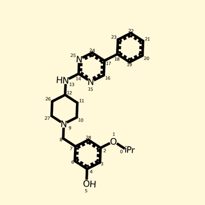 CC(C)Oc1cc(O)cc(CN2CCC(Nc3ncc(-c4ccccc4)cn3)CC2)c1